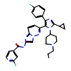 O=C(Nc1cn2nc(-c3c(-c4ccc(F)cc4)nc(C4CC4)n3C3CCN(CCC(F)(F)F)CC3)ccc2n1)c1ccnc(F)c1